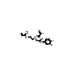 C=CC(=O)OCCOCC(OC(=O)C=C)Oc1ccccc1